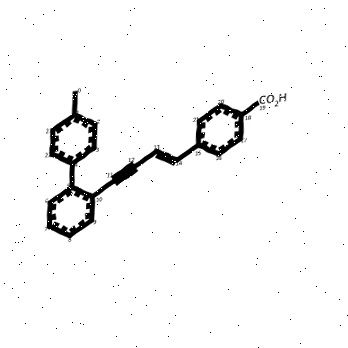 Cc1ccc(-c2ccccc2C#C/C=C/c2ccc(C(=O)O)cc2)cc1